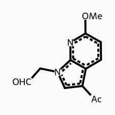 COc1ccc2c(C(C)=O)cn(CC=O)c2n1